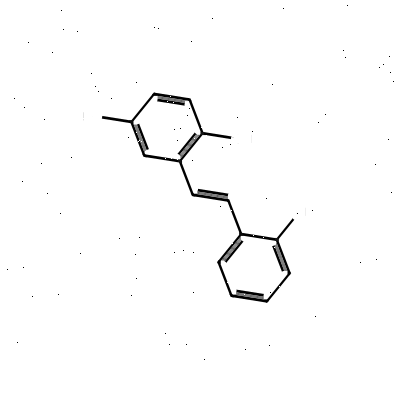 Cc1ccc(O)c(/C=C/c2ccccc2C)c1